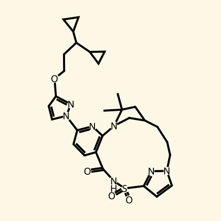 CC1(C)CC2CCCn3ccc(n3)S(=O)(=O)NC(=O)c3ccc(-n4ccc(OCCC(C5CC5)C5CC5)n4)nc3N1C2